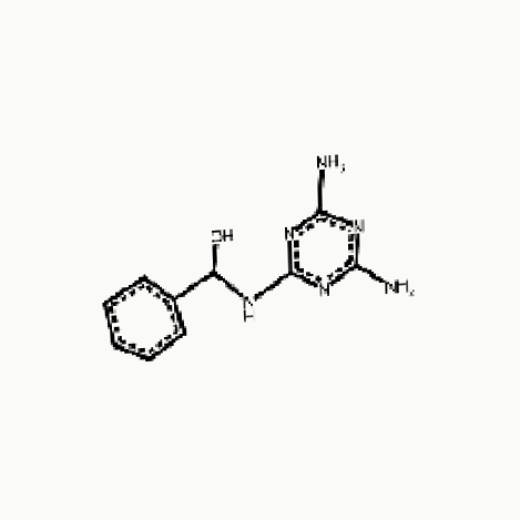 Nc1nc(N)nc(NC(O)c2ccccc2)n1